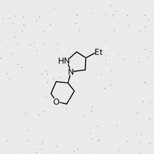 CCC1CNN(C2CCOCC2)C1